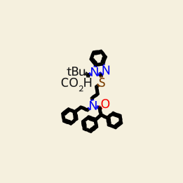 CC(C)(C)C(C(=O)O)n1c(SCCCN(CCc2ccccc2)C(=O)C(c2ccccc2)c2ccccc2)nc2ccccc21